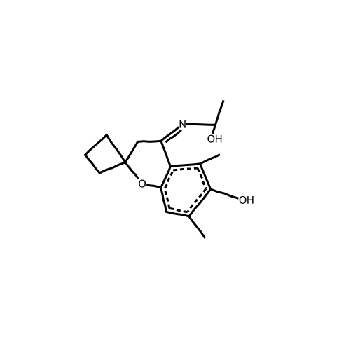 Cc1cc2c(c(C)c1O)/C(=N\C(C)O)CC1(CCC1)O2